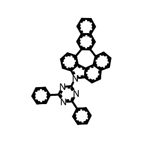 c1ccc(-c2nc(-c3ccccc3)nc(-n3c4cccc5c4c4c6c(cccc6ccc43)-c3cc4ccccc4cc3-5)n2)cc1